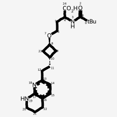 CC(C)(C)C(=O)NC(CCO[C@H]1C[C@H](CCc2ccc3c(n2)NCCC3)C1)C(=O)O